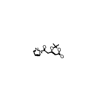 CC1(C)OC(=O)C=C(CC(=O)n2cccn2)O1